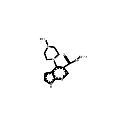 CC(=O)NNC(=O)c1cnc2[nH]ccc2c1N1CCN(C(=O)O)CC1